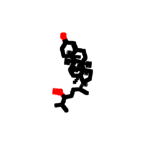 CC(C)C(O)CCC(C)[C@H]1CC[C@H]2[C@@H]3CCC4=CC(=O)CC[C@]4(C)[C@H]3CC[C@]12C